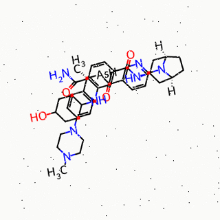 C[C@H]([AsH]C(=O)c1ccc(N2[C@@H]3CC[C@H]2C[C@@H](NC(=O)c2ccc(C(N)=O)c(NC4CCC(O)CC4)c2)C3)nc1)c1ccc(N2CCN(C)CC2)cc1